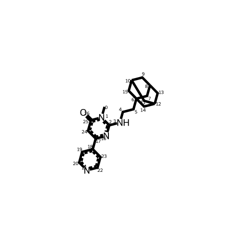 Cn1c(NCCC23CC4CC(CC(C4)C2)C3)nc(-c2ccncc2)cc1=O